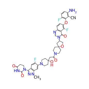 Cn1nc(N2CCC(=O)NC2=O)c2cc(F)c(N3CCC(O)(CC(=O)N4CCC5(CC4)C[C@@H](n4cnc6ccc(Oc7c(F)ccc(N)c7C#N)c(F)c6c4=O)CO5)CC3)cc21